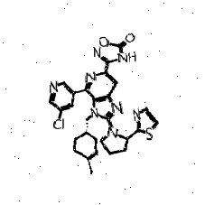 C[C@H]1CC[C@H](Cn2c(N3CCCC3c3nccs3)nc3cc(-c4noc(=O)[nH]4)nc(-c4cncc(Cl)c4)c32)CC1